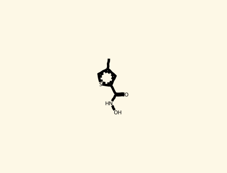 Cc1csc(C(=O)NO)c1